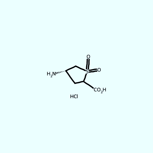 Cl.N[C@H]1CC(C(=O)O)S(=O)(=O)C1